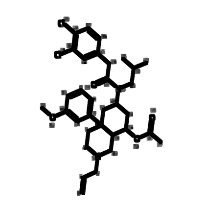 C=CCN1CCC2(c3cccc(OC)c3)CC(N(CC(C)C)C(=O)Cc3ccc(Cl)c(Cl)c3)CC(OC(C)=O)C2C1